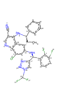 CC[C@@H](Nc1c(C#N)cnc2c(Cl)cc(N[C@H](c3cn(C(F)F)nn3)c3cccc(F)c3F)cc12)c1ccccc1